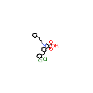 O=C(O)c1cn(CCCCc2ccccc2)c2ccc(Cc3cccc(Cl)c3Cl)cc2c1=O